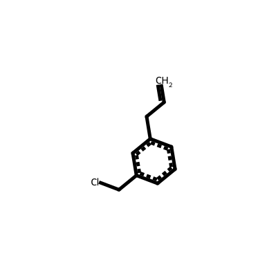 C=CCc1cccc(CCl)c1